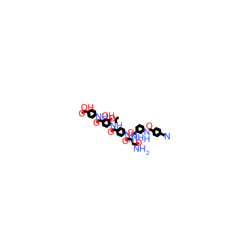 CC(C)Oc1c(NC(=O)c2ccc(NC(=O)[C@H](CC(N)=O)NC(=O)c3cccc(NC(=O)c4ccc(C#N)cc4)c3)cc2)ccc(C(=O)Nc2ccc(C(=O)O)cc2)c1O